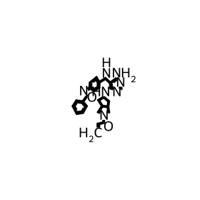 C=CC(=O)N1CC2CC(Nc3ncnc(N)c3C(=N)c3ccc4nc(-c5ccccc5)oc4c3)CC2C1